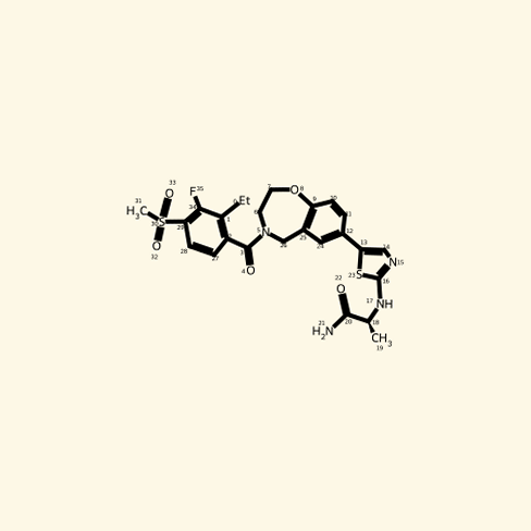 CCc1c(C(=O)N2CCOc3ccc(-c4cnc(N[C@@H](C)C(N)=O)s4)cc3C2)ccc(S(C)(=O)=O)c1F